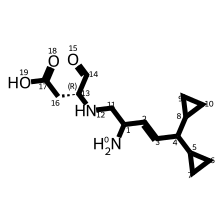 NC(C=CC(C1CC1)C1CC1)CN[C@@H](C=O)CC(=O)O